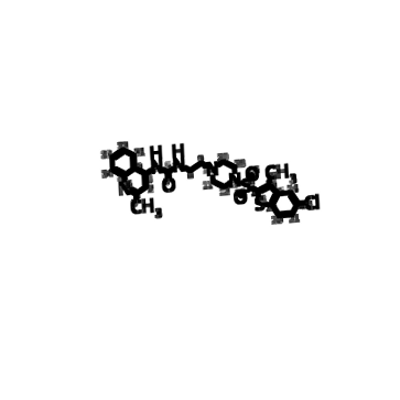 Cc1cc(NC(=O)NCCN2CCN(S(=O)(=O)c3sc4ccc(Cl)cc4c3C)CC2)c2ccccc2n1